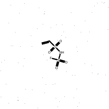 C=CS(=O)(=O)NS(=O)(=O)F